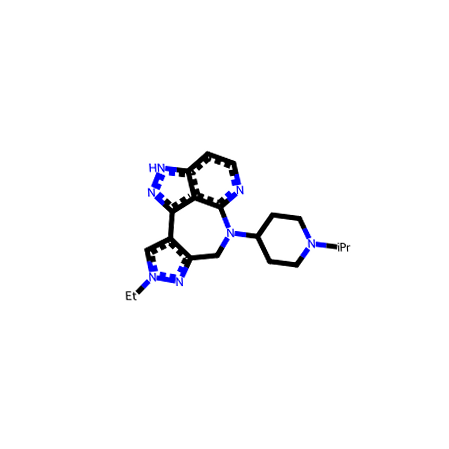 CCn1cc2c(n1)CN(C1CCN(C(C)C)CC1)c1nccc3[nH]nc-2c13